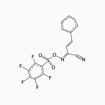 N#CC(/C=C/c1ccccc1)=N/OS(=O)(=O)c1c(F)c(F)c(F)c(F)c1F